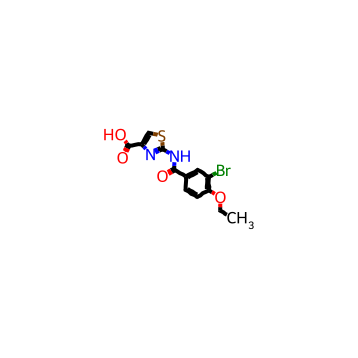 CCOc1ccc(C(=O)Nc2nc(C(=O)O)cs2)cc1Br